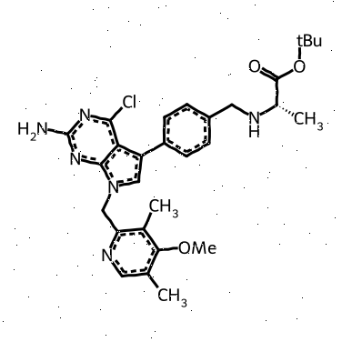 COc1c(C)cnc(Cn2cc(-c3ccc(CN[C@@H](C)C(=O)OC(C)(C)C)cc3)c3c(Cl)nc(N)nc32)c1C